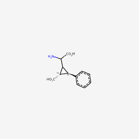 NC(C(=O)O)C1[C@@H](C(=O)O)[C@@H]1c1ccccc1